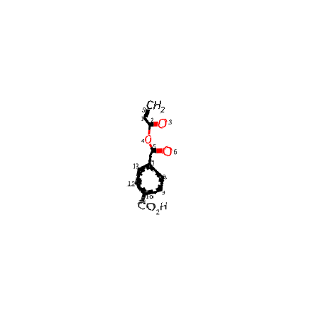 C=CC(=O)OC(=O)c1ccc(C(=O)O)cc1